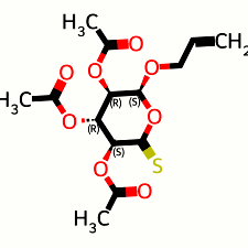 C=CCO[C@H]1OC(=S)[C@@H](OC(C)=O)[C@H](OC(C)=O)[C@H]1OC(C)=O